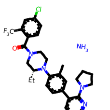 CC[C@@H]1CN(C(=O)c2ccc(Cl)cc2C(F)(F)F)CCN1c1ccc(-c2cccnc2N2CCCC2)cc1C.N